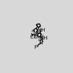 CC(CN1[C@H](c2c(F)cc(NC3CN(CCCF)C3)cc2F)c2[nH]c3ccccc3c2C[C@H]1C)C(=O)O